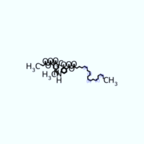 CC/C=C\C/C=C\C/C=C\C/C=C\C/C=C\CCCC(=O)OC(=O)c1ccc(NN(C)C2C=CC(=O)C(C(=O)OC(=O)CCC)=C2)cc1OC